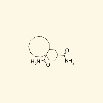 NC(=O)C1CCC2(C(N)=O)CCCCCCCCCC2C1